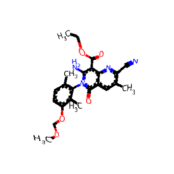 CCOC(=O)c1c(N)n(-c2c(C)ccc(OCOC)c2C)c(=O)c2cc(C)c(C#N)nc12